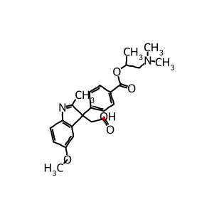 COc1ccc2c(c1)C(CC(=O)O)(c1ccc(C(=O)OC(C)CN(C)C)cc1)C(C)=N2